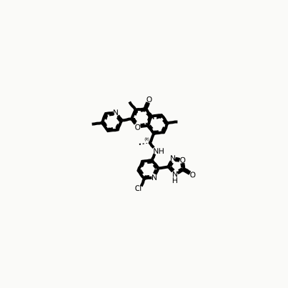 Cc1ccc(-c2oc3c([C@@H](C)Nc4ccc(Cl)nc4-c4noc(=O)[nH]4)cc(C)cc3c(=O)c2C)nc1